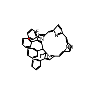 Fc1c(-c2ccccc2)c2n(-c3ccccc3)c1C=C1C=CC(=N1)C=c1ccc([nH]1)=CC1=NC(F)(C(c3ccccc3)=C1)C2c1ccccc1